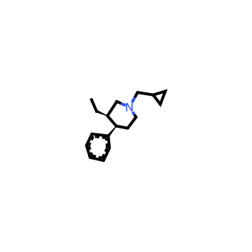 CC[C@H]1CN(CC2CC2)CC[C@H]1c1ccccc1